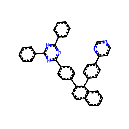 c1ccc(-c2nc(-c3ccccc3)nc(-c3ccc(-c4ccc5ccccc5c4-c4ccc(-c5ccncn5)cc4)cc3)n2)cc1